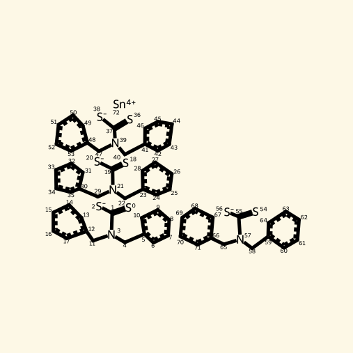 S=C([S-])N(Cc1ccccc1)Cc1ccccc1.S=C([S-])N(Cc1ccccc1)Cc1ccccc1.S=C([S-])N(Cc1ccccc1)Cc1ccccc1.S=C([S-])N(Cc1ccccc1)Cc1ccccc1.[Sn+4]